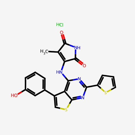 CC1=C(Nc2nc(-c3cccs3)nc3scc(-c4cccc(O)c4)c23)C(=O)NC1=O.Cl